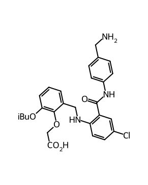 CC(C)COc1cccc(CNc2ccc(Cl)cc2C(=O)Nc2ccc(CN)cc2)c1OCC(=O)O